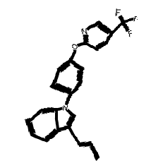 C=CCc1cn(-c2ccc(Oc3ccc(C(F)(F)F)cn3)cc2)c2ccccc12